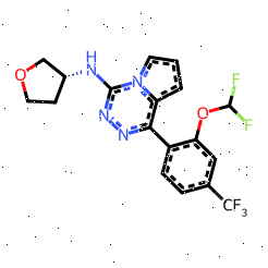 FC(F)Oc1cc(C(F)(F)F)ccc1-c1nnc(N[C@@H]2CCOC2)n2cccc12